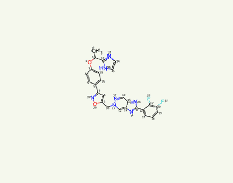 CC(Oc1ccc(-c2cc(Cn3cc4nc(-c5cccc(F)c5F)nc-4cn3)on2)cc1)c1ncc[nH]1